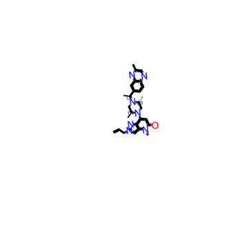 C=CCn1cc2c(n1)c(N1C[C@@H](C)N([C@@H](C)c3ccc4ncc(C)nc4c3)C[C@@H]1C)cc(=O)n2C